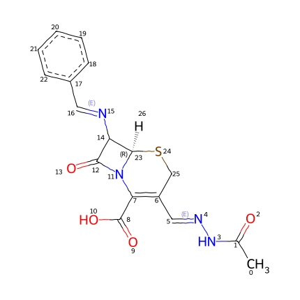 CC(=O)N/N=C/C1=C(C(=O)O)N2C(=O)C(/N=C/c3ccccc3)[C@H]2SC1